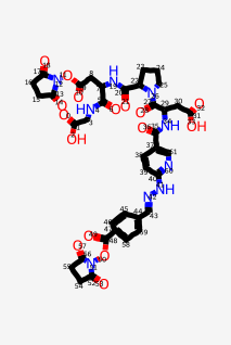 O=C(O)CNC(=O)C(CC(=O)ON1C(=O)CCC1=O)NC(=O)C1CCCN1C(=O)C(CC(=O)O)NC(=O)c1ccc(N/N=C/c2ccc(C(=O)ON3C(=O)CCC3=O)cc2)nc1